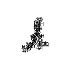 COc1ccc(C(OC[C@H]2O[C@@H](n3cc(C)c(NC(=O)c4ccccc4)nc3=O)C[C@H]2OP(=O)(CO[C@H]2O[C@@H](n3cnc4c(NC(=O)c5ccccc5)ncnc43)C[C@@H]2O)OC)(c2ccccc2)c2ccc(OC)cc2)cc1